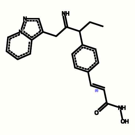 CCC(C(=N)Cc1cnn2ccccc12)c1ccc(/C=C/C(=O)NO)cc1